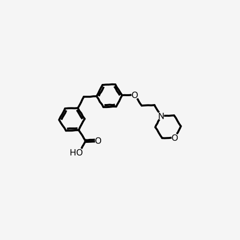 O=C(O)c1cccc(Cc2ccc(OCCN3CCOCC3)cc2)c1